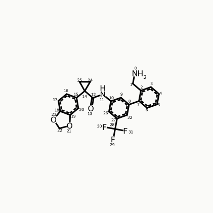 NCc1ccccc1-c1cc(NC(=O)C2(c3ccc4c(c3)OCO4)CC2)cc(C(F)(F)F)c1